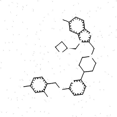 N#Cc1ccc(COc2cccc(C3CCN(Cc4nc5ccc(C(=O)O)cc5n4C[C@@H]4CCO4)CC3)n2)c(F)c1